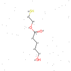 O=C(CCCCO)OCCS